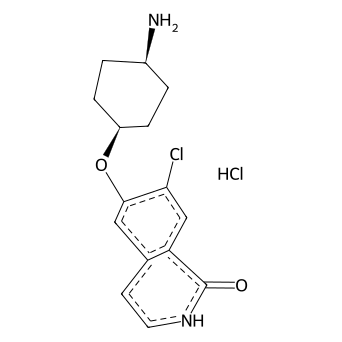 Cl.N[C@H]1CC[C@@H](Oc2cc3cc[nH]c(=O)c3cc2Cl)CC1